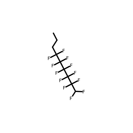 CCCC(F)(F)C(F)(F)C(F)(F)C(F)(F)C(F)(F)C(F)F